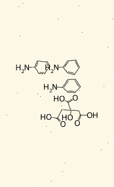 Nc1ccccc1.Nc1ccccc1.Nc1ccccc1.O=C(O)CC(O)(CC(=O)O)C(=O)O